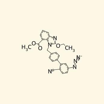 CCOc1nc2cccc(C(=O)OC)c2n1Cc1ccc(-c2cc(N=[N+]=[N-])ccc2C#N)cc1